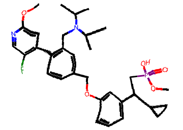 COc1cc(-c2ccc(COc3cccc(C(CP(=O)(O)OC)C4CC4)c3)cc2CN(C(C)C)C(C)C)c(F)cn1